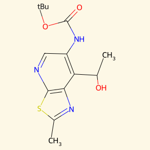 Cc1nc2c(C(C)O)c(NC(=O)OC(C)(C)C)cnc2s1